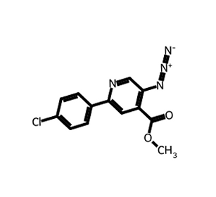 COC(=O)c1cc(-c2ccc(Cl)cc2)ncc1N=[N+]=[N-]